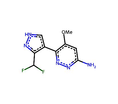 COc1cc(N)nnc1-c1c[nH]nc1C(F)F